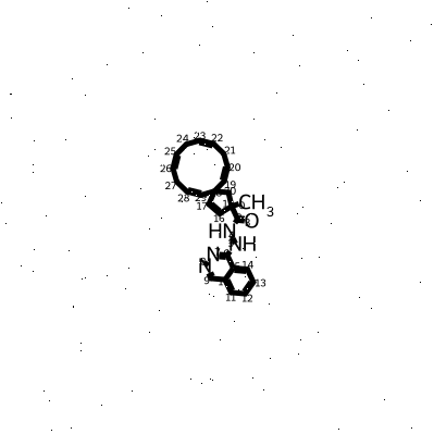 CC1(C(=O)NNc2nncc3ccccc23)C=CC2(/C=C\C/C=C\C/C=C\C/C=C\2)C1